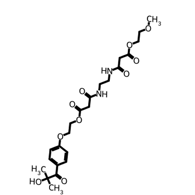 COCCOC(=O)CC(=O)NCCNC(=O)CC(=O)OCCOc1ccc(C(=O)C(C)(C)O)cc1